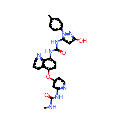 CNC(=O)Nc1cc(Oc2ccc(NC(=O)Nc3cc(O)nn3-c3ccc(C)cc3)c3ncccc23)ccn1